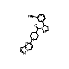 N#Cc1cccc(C2CC=NN2C(=O)C2CCN(c3ccn4nccc4n3)CC2)c1